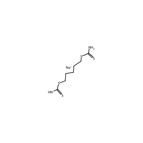 [NH-]C(=S)SCCCCCSC(N)=S.[Na+]